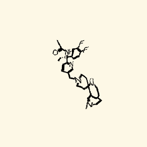 CC[C@](NC(C)=O)(c1ccc(F)c(F)c1)c1ccc(CN2CCC3(CC2)OCc2ccncc23)cn1